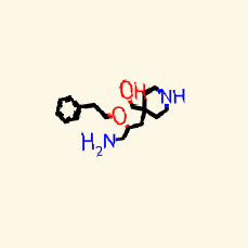 NCC(CC1(CO)CCNCC1)OCCc1ccccc1